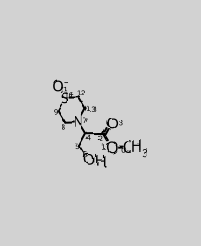 COC(=O)C(CO)N1CC[S+]([O-])CC1